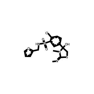 CN=C1SCC(O)(c2ccc(Cl)c(S(=O)(=O)NCc3ccco3)c2)N1C